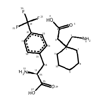 NCC1(CC(=O)O)CCCCC1.N[C@@H](Cc1ccc(C(F)(F)F)cc1)C(=O)O